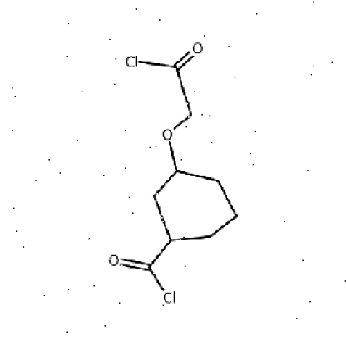 O=C(Cl)COC1CCCC(C(=O)Cl)C1